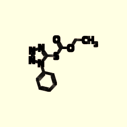 CCOC(=O)Sc1nnnn1-c1ccccc1